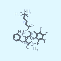 CNC(=O)[C@@H](Cc1ccccc1)N(C)C(=O)[C@@H](Cc1c(F)c(F)c(F)c(F)c1F)N(C)C(=O)/C=C/CC(C)(C)N